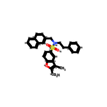 Cc1c(C(=O)O)oc2ccc(S(=O)(=O)N(CCc3ccccc3)Cc3ccc4ccccc4c3)cc12